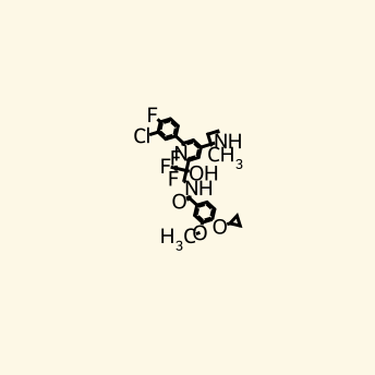 COc1cc(C(=O)NCC(O)(c2cc([C@]3(C)CCN3)cc(-c3ccc(F)c(Cl)c3)n2)C(F)(F)F)ccc1OC1CC1